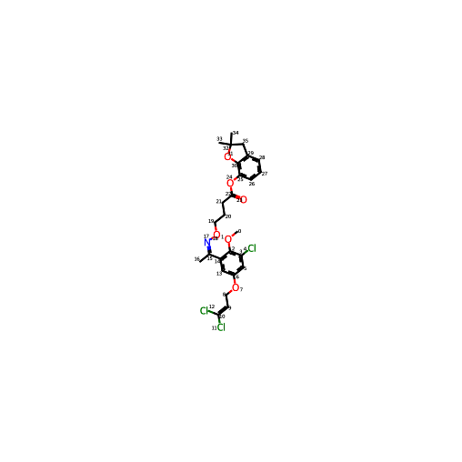 COc1c(Cl)cc(OCC=C(Cl)Cl)cc1C(C)=NOCCCC(=O)Oc1cccc2c1OC(C)(C)C2